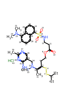 CCC(CC)SSC(CCOC(=O)CCNS(=O)(=O)c1cccc2c(N(C)C)cccc12)=C(C)N(C=O)Cc1cnc(C)nc1N.Cl